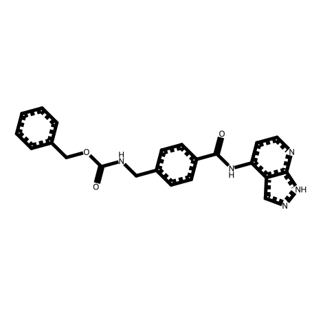 O=C(NCc1ccc(C(=O)Nc2ccnc3[nH]ncc23)cc1)OCc1ccccc1